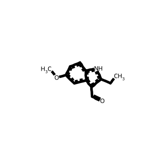 CCc1[nH]c2ccc(OC)cc2c1C=O